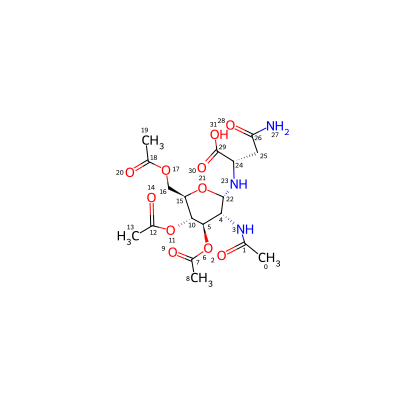 CC(=O)N[C@@H]1[C@@H](OC(C)=O)[C@H](OC(C)=O)[C@@H](COC(C)=O)O[C@@H]1N[C@@H](CC(N)=O)C(=O)O